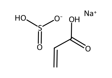 C=CC(=O)O.O=S([O-])O.[Na+]